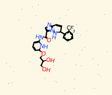 O=C(NC1=CC=CC(OCC(O)CO)N1)c1cnc2n1NC(c1ccccc1C(F)(F)F)C=C2